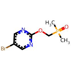 CP(C)(=O)COc1ncc(Br)cn1